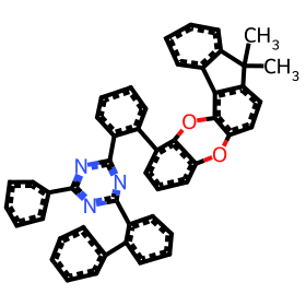 CC1(C)c2ccccc2-c2c1ccc1c2Oc2c(cccc2-c2ccccc2-c2nc(-c3ccccc3)nc(-c3ccccc3-c3ccccc3)n2)O1